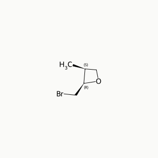 C[C@H]1CO[C@H]1CBr